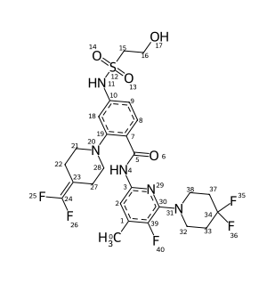 Cc1cc(NC(=O)c2ccc(NS(=O)(=O)CCO)cc2N2CCC(=C(F)F)CC2)nc(N2CCC(F)(F)CC2)c1F